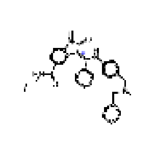 CCCNC(=O)c1ccc2c(c1)/C(=C(/Nc1ccc(CN(C)Cc3ccccc3)cc1)c1ccccc1)C(=O)N2